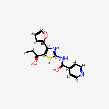 CCC(=O)c1sc(NC(=O)c2ccncc2)nc1-c1ccco1